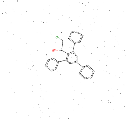 OC(CCl)c1c(-c2ccccc2)cc(-c2ccccc2)cc1-c1ccccc1